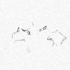 O=C1C(=Cc2cc(O)ccc2O)Oc2c1ccc(O)c2O